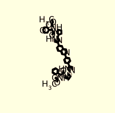 COC(=O)N[C@H](C(=O)N1CCCC1c1nc(-c2ccc3cc(-c4ccc(-c5cnc([C@@H]6CCCN6C(=O)[C@H](NC(=O)OC)c6ccccc6)[nH]5)cc4)ncc3c2)c[nH]1)C1CCOCC1